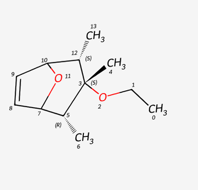 CCO[C@]1(C)[C@H](C)C2C=CC(O2)[C@@H]1C